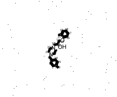 Cc1ccc(CN2CCN(CC(O)COc3ccccc3C)CC2)cc1